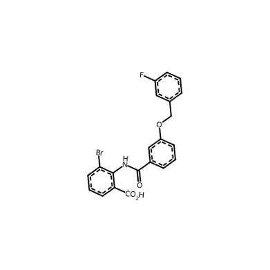 O=C(Nc1c(Br)cccc1C(=O)O)c1cccc(OCc2cccc(F)c2)c1